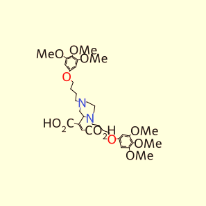 COc1cc(OCCCCN2CCCN(CCCCOc3cc(OC)c(OC)c(OC)c3)C(/C(=C\C(=O)O)C(=O)O)C2)cc(OC)c1OC